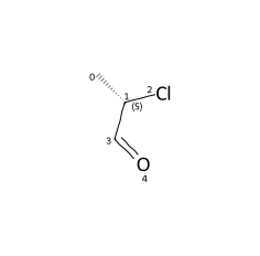 C[C@H](Cl)C=O